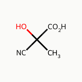 CC(O)(C#N)C(=O)O